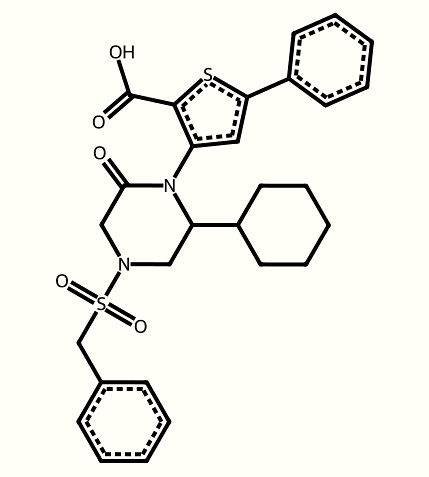 O=C(O)c1sc(-c2ccccc2)cc1N1C(=O)CN(S(=O)(=O)Cc2ccccc2)CC1C1CCCCC1